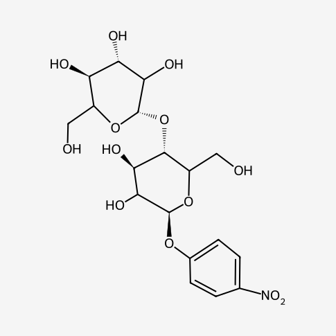 O=[N+]([O-])c1ccc(O[C@@H]2OC(CO)[C@@H](O[C@@H]3OC(CO)[C@@H](O)[C@H](O)C3O)[C@H](O)C2O)cc1